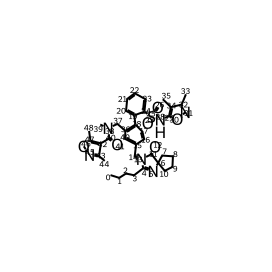 CCCCC1=NC2(CCCC2)C(=O)N1Cc1ccc(-c2ccccc2S(=O)(=O)Nc2onc(C)c2C)c(CN(C)C(=O)c2c(C)noc2C)c1